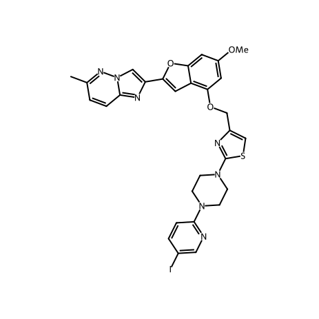 COc1cc(OCc2csc(N3CCN(c4ccc(I)cn4)CC3)n2)c2cc(-c3cn4nc(C)ccc4n3)oc2c1